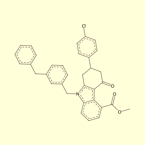 COC(=O)c1cccc2c1c1c(n2Cc2cccc(Cc3ccccc3)c2)CC(c2ccc(Cl)cc2)CC1=O